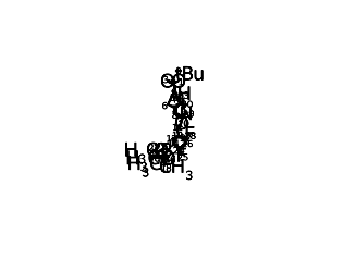 CC(C)(C)OC(=O)C1C2Cc3cc(OCc4cc(B5OC(C)(C)C(C)(C)O5)c(F)cc4F)ncc3[C@@H]21